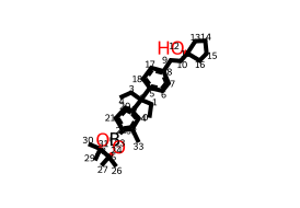 CCC(CC)(c1ccc(CCC2(O)CCCC2)cc1)c1ccc(B2OC(C)(C)C(C)(C)O2)c(C)c1